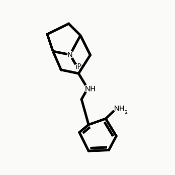 CC(C)N1C2CCC1CC(NCc1ccccc1N)C2